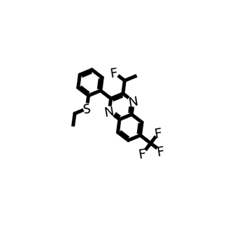 CCSc1ccccc1-c1nc2ccc(C(F)(F)F)cc2nc1C(C)F